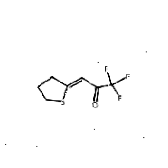 O=C(C=C1CCCS1)C(F)(F)F